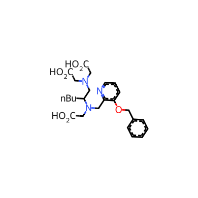 CCCCC(CN(CC(=O)O)CC(=O)O)N(CC(=O)O)Cc1ncccc1OCc1ccccc1